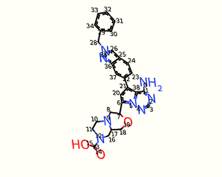 Nc1ncnn2c(C3CN4CCN(C(=O)O)CC4CO3)cc(-c3ccc4cn(Cc5ccccc5)nc4c3)c12